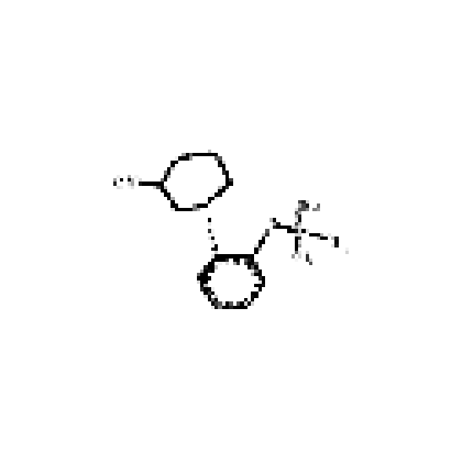 CC(C)(C)[Si](C)(C)Oc1ccccc1[C@H]1CCCC(C=O)C1